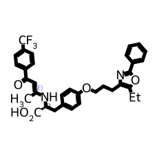 CCc1oc(-c2ccccc2)nc1CCCOc1ccc(C[C@H](N/C(C)=C/C(=O)c2ccc(C(F)(F)F)cc2)C(=O)O)cc1